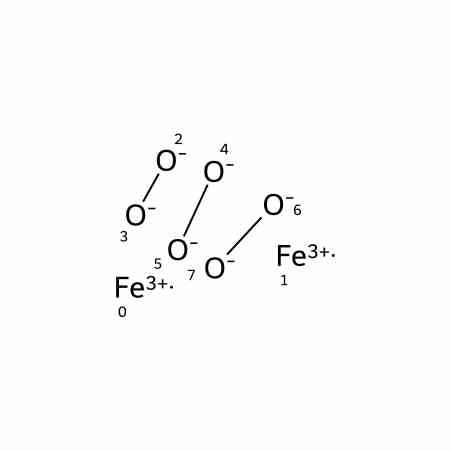 [Fe+3].[Fe+3].[O-][O-].[O-][O-].[O-][O-]